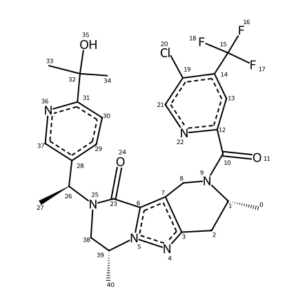 C[C@@H]1Cc2nn3c(c2CN1C(=O)c1cc(C(F)(F)F)c(Cl)cn1)C(=O)N([C@@H](C)c1ccc(C(C)(C)O)nc1)C[C@H]3C